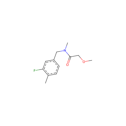 COCC(=O)N(C)Cc1ccc(C)c(F)c1